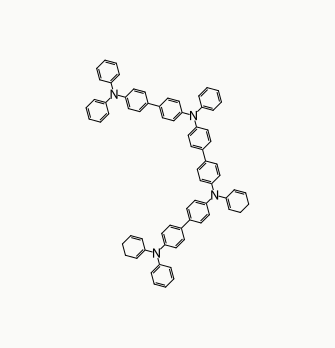 C1=CC(N(c2ccccc2)c2ccc(-c3ccc(N(C4=CCCC=C4)c4ccc(-c5ccc(N(c6ccccc6)c6ccc(-c7ccc(N(c8ccccc8)c8ccccc8)cc7)cc6)cc5)cc4)cc3)cc2)=CCC1